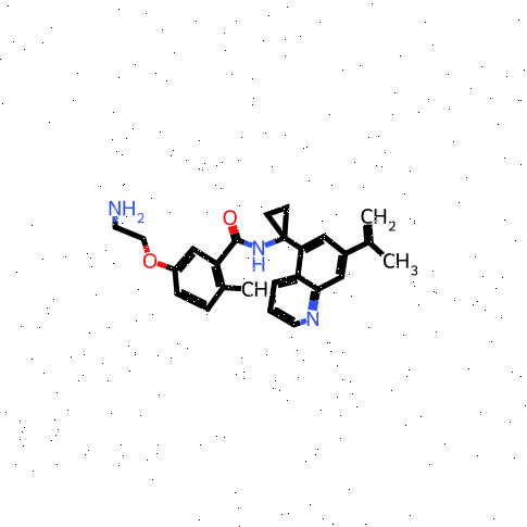 C=C(C)c1cc(C2(NC(=O)c3cc(OCCN)ccc3C)CC2)c2cccnc2c1